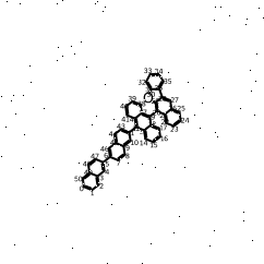 c1ccc2cc(-c3ccc4cc(-c5c6ccccc6c(-c6c7ccccc7cc7c6oc6ccccc67)c6ccccc56)ccc4c3)ccc2c1